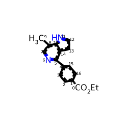 CCOC(=O)c1ccc(-c2ncc(C)c3[nH]ccc23)cc1